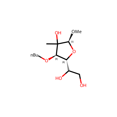 CCCCO[C@@H]1[C@@H](C(O)CO)O[C@H](OC)C1(C)O